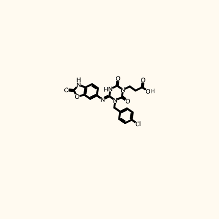 O=C(O)CCn1c(=O)[nH]/c(=N\c2ccc3[nH]c(=O)oc3c2)n(Cc2ccc(Cl)cc2)c1=O